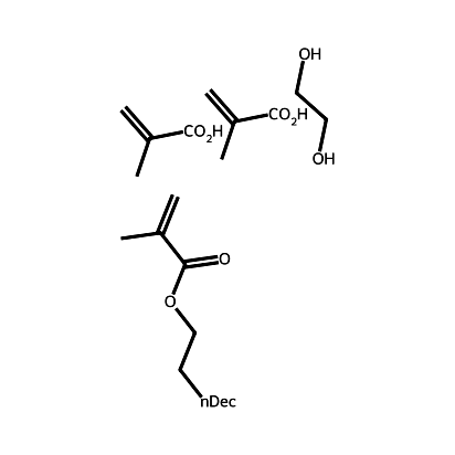 C=C(C)C(=O)O.C=C(C)C(=O)O.C=C(C)C(=O)OCCCCCCCCCCCC.OCCO